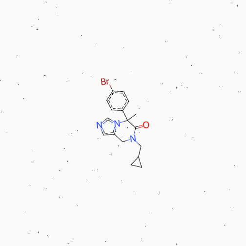 CC1(c2ccc(Br)cc2)C(=O)N(CC2CC2)Cc2cncn21